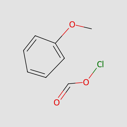 COc1ccccc1.O=COCl